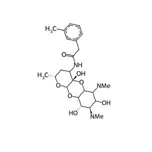 CNC1C2O[C@@]3(O)C(NC(=O)Cc4cccc(C)c4)C[C@@H](C)OC3OC2[C@@H](O)[C@H](NC)C1O